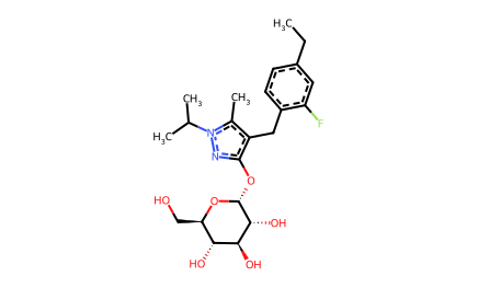 CCc1ccc(Cc2c(O[C@H]3O[C@H](CO)[C@@H](O)[C@H](O)[C@H]3O)nn(C(C)C)c2C)c(F)c1